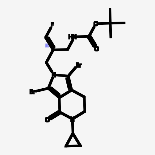 CC(C)(C)OC(=O)NC/C(=C\F)Cn1c(Br)c2c(c1Br)C(=O)N(C1CC1)CC2